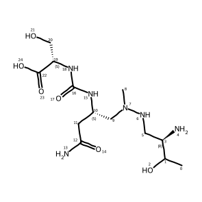 CC(O)[C@H](N)CNN(C)C[C@H](CC(N)=O)NC(=O)N[C@@H](CO)C(=O)O